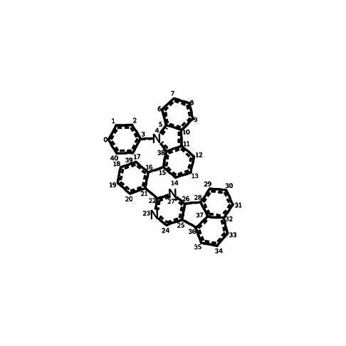 c1ccc(-n2c3ccccc3c3cccc(-c4ccccc4-c4ncc5c(n4)-c4cccc6cccc-5c46)c32)cc1